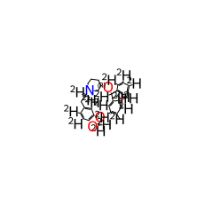 [2H]c1c([2H])c([2H])c(C([2H])(O[C@@H]2CCCN(C([2H])([2H])Cc3c([2H])c([2H])c4c(c3[2H])OC([2H])([2H])O4)C2)c2c([2H])c([2H])c([2H])c([2H])c2[2H])c([2H])c1[2H]